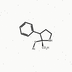 CC(=O)S[C@@]1(C(=O)O)NCCC1c1ccccc1